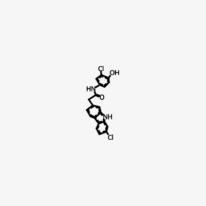 O=C(Cc1ccc2c(c1)[nH]c1cc(Cl)ccc12)Nc1ccc(O)c(Cl)c1